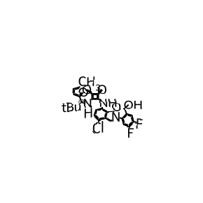 Cc1ccc([C@H](Nc2c(Nc3ccc(Cl)c4c3C(=O)N(c3cc(F)c(F)cc3CO)C4)c(=O)c2=O)C(C)(C)C)o1